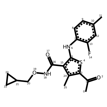 CC(=O)c1sc(Nc2ccc(C)cc2F)c(C(=O)NOCC2CC2)c1C